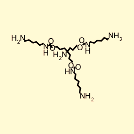 NCCCCCCNC(=O)OCCCC(N)(CCCOC(=O)NCCCCCCN)CCCOC(=O)NCCCCCCN